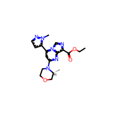 CCOC(=O)c1ncn2c(-c3ccnn3C)cc(N3CCOC[C@H]3C)nc12